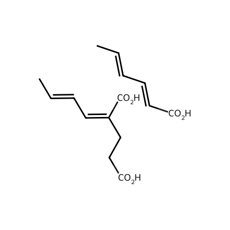 CC=CC=C(CCC(=O)O)C(=O)O.CC=CC=CC(=O)O